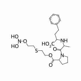 CC(NC(CCc1ccccc1)C(=O)O)C(=O)N1CCCC1C(=O)OCCSCCON(O)O